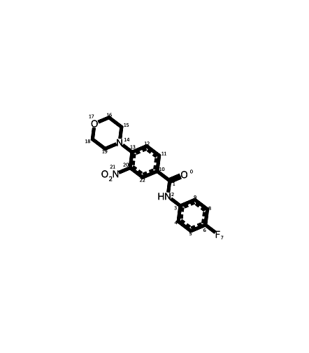 O=C(Nc1ccc(F)cc1)c1ccc(N2CCOCC2)c([N+](=O)[O-])c1